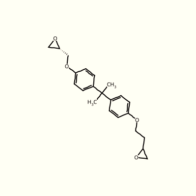 CC(C)(c1ccc(OCCC2CO2)cc1)c1ccc(OC[C@@H]2CO2)cc1